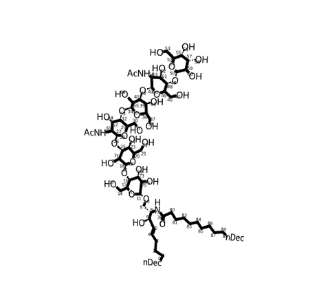 CCCCCCCCCCCCC/C=C/[C@@H](O)[C@H](CO[C@@H]1OC(CO)[C@@H](O[C@@H]2OC(CO)[C@H](O)[C@H](O[C@@H]3OC(CO)[C@@H](O[C@@H]4OC(CO)[C@H](O)[C@H](O[C@H]5OC(CO)[C@@H](O[C@@H]6OC(CO)[C@H](O)[C@H](O)C6O)[C@H](O)C5NC(C)=O)C4O)[C@H](O)C3NC(C)=O)C2O)[C@H](O)C1O)NC(=O)CCCCCCCCCCCCCCCCCCC